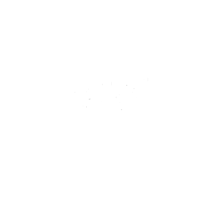 CCCCC1=C(CC(O)C(=O)CC(=O)O)CCC1